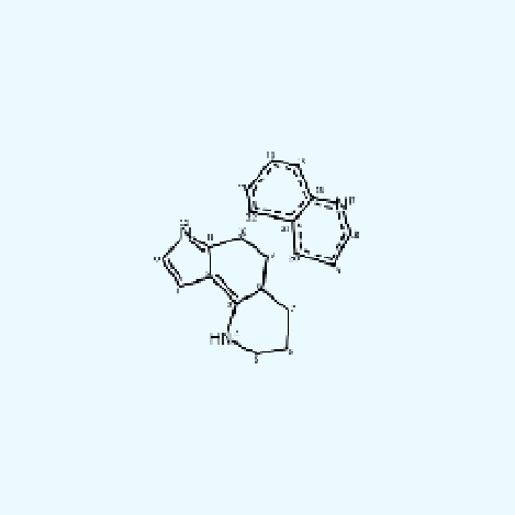 C1=CC2=C3NCCCC3CCC2=N1.c1ccc2ncccc2c1